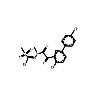 CCC(=NN(C)C(=O)C(=O)c1cc(-c2ccc(Cl)cc2)ccc1CC)S(C)(=O)=O